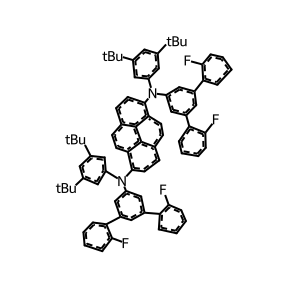 CC(C)(C)c1cc(N(c2cc(-c3ccccc3F)cc(-c3ccccc3F)c2)c2ccc3ccc4c(N(c5cc(-c6ccccc6F)cc(-c6ccccc6F)c5)c5cc(C(C)(C)C)cc(C(C)(C)C)c5)ccc5ccc2c3c54)cc(C(C)(C)C)c1